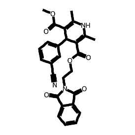 COC(=O)C1=C(C)NC(C)=C(C(=O)OCCN2C(=O)c3ccccc3C2=O)C1c1cccc(C#N)c1